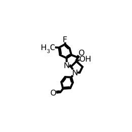 Cc1cc2c(cc1F)C(=O)[C@]1(O)CCN(c3ccc(C=O)cc3)C1=N2